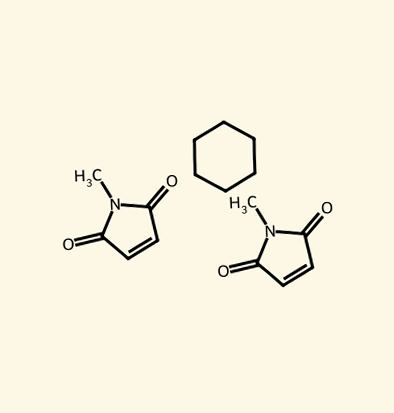 C1CCCCC1.CN1C(=O)C=CC1=O.CN1C(=O)C=CC1=O